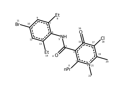 CCCc1c(C(=O)Nc2c(CC)cc(Br)cc2CC)c(=O)c(Cl)c(C)n1C